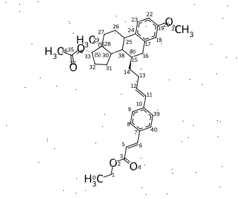 CCOC(=O)C=Cc1ccc(C=CCC[C@@H]2Cc3cc(OC)ccc3C3CC[C@@]4(C)C(CC[C@@H]4OC(C)=O)C32)cc1